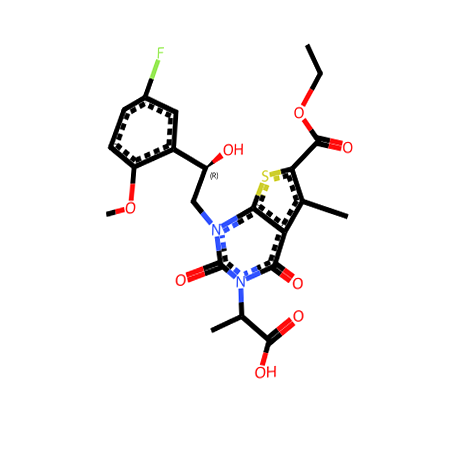 CCOC(=O)c1sc2c(c1C)c(=O)n(C(C)C(=O)O)c(=O)n2C[C@H](O)c1cc(F)ccc1OC